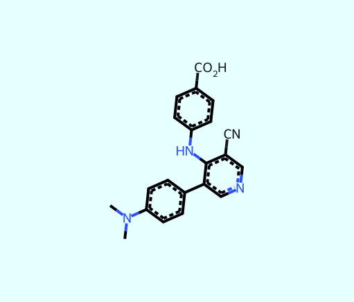 CN(C)c1ccc(-c2cncc(C#N)c2Nc2ccc(C(=O)O)cc2)cc1